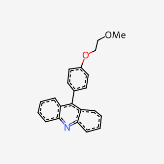 COCCOc1ccc(-c2c3ccccc3nc3ccccc23)cc1